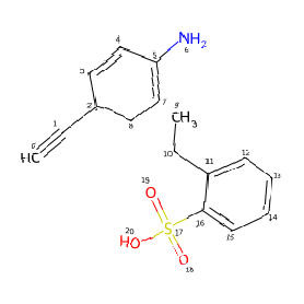 C#C[C]1C=CC(N)=CC1.CCc1ccccc1S(=O)(=O)O